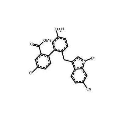 CCn1cc(Cc2ccc(C(=O)O)cc2-c2ccc(Cl)cc2C(=O)OC)c2ccc(C#N)cc21